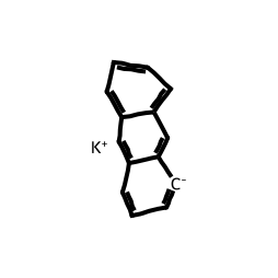 [K+].[c-]1cccc2cc3ccccc3cc12